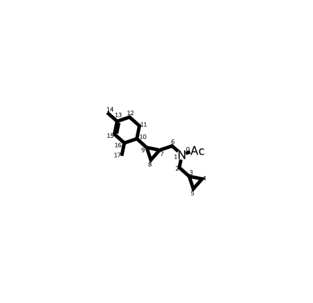 CC(=O)N(CC1CC1)CC1CC1C1CCC(C)=CC1C